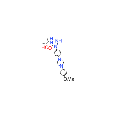 COc1ccc(N2CCN(c3ccc(N(C=N)C(=O)NC(C)C(C)O)cc3)CC2)cc1